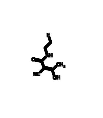 CC(O)=C(C#N)C(=O)NCCF